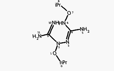 CCCON(N=C(N)NOC(C)C)C(=N)N